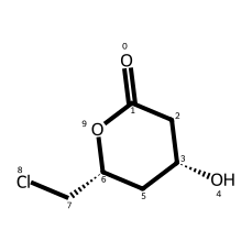 O=C1C[C@H](O)C[C@H](CCl)O1